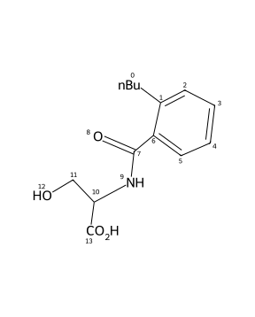 CCCCc1ccccc1C(=O)NC(CO)C(=O)O